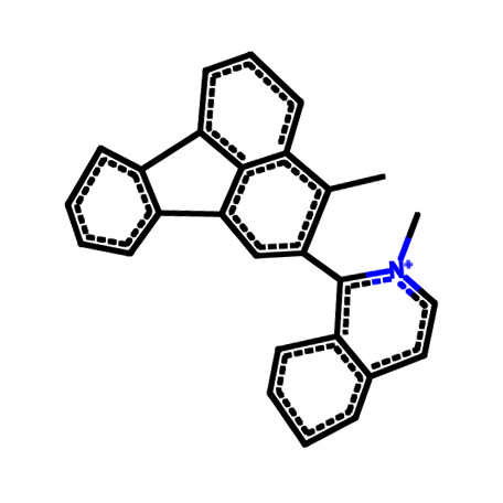 Cc1c(-c2c3ccccc3cc[n+]2C)cc2c3c(cccc13)-c1ccccc1-2